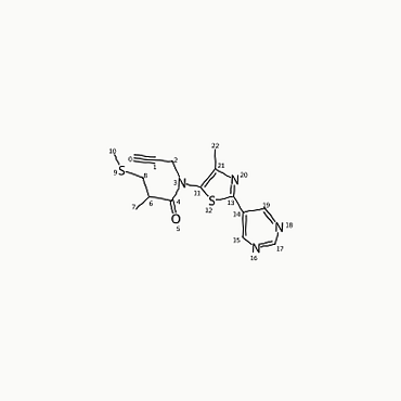 C#CCN(C(=O)C(C)CSC)c1sc(-c2cncnc2)nc1C